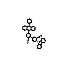 N#Cc1ccc(-c2c3ccccc3c(-c3ccccc3)c3ccccc23)cc1-c1ccc(-n2c3ccccc3c3ccccc32)c(C#N)c1